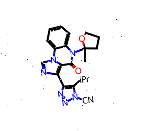 CC(C)c1c(-c2ncn3c2c(=O)n(C2(C)CCCO2)c2ccccc23)nnn1C#N